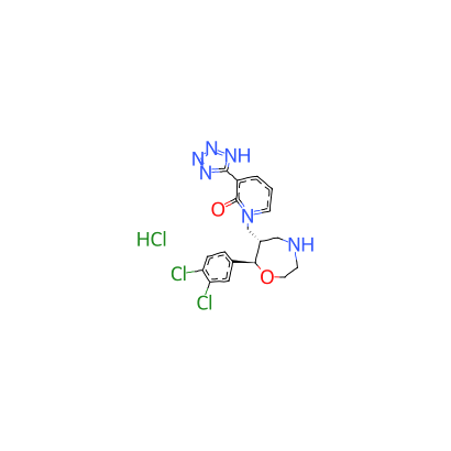 Cl.O=c1c(-c2nnn[nH]2)cccn1C[C@@H]1CNCCO[C@H]1c1ccc(Cl)c(Cl)c1